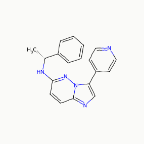 C[C@@H](Nc1ccc2ncc(-c3ccncc3)n2n1)c1ccccc1